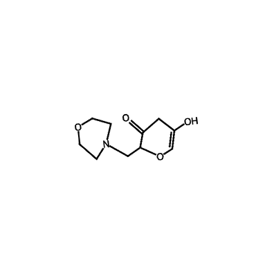 O=C1CC(O)=COC1CN1CCOCC1